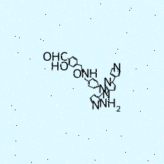 Nc1ncccc1-c1nc2ccc(-c3ccncc3)nc2n1-c1ccc(CNC(=O)Cc2ccc(C=O)c(O)c2)cc1